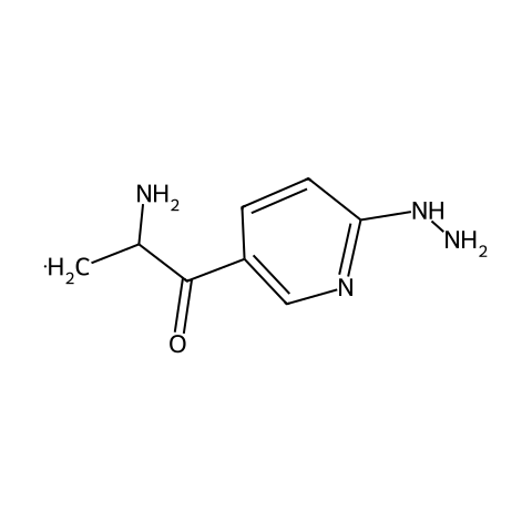 [CH2]C(N)C(=O)c1ccc(NN)nc1